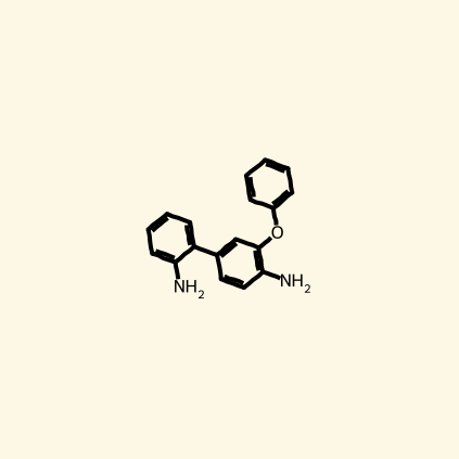 Nc1ccc(-c2ccccc2N)cc1Oc1ccccc1